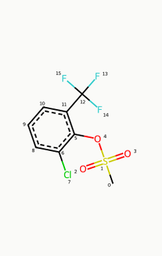 CS(=O)(=O)Oc1c(Cl)cccc1C(F)(F)F